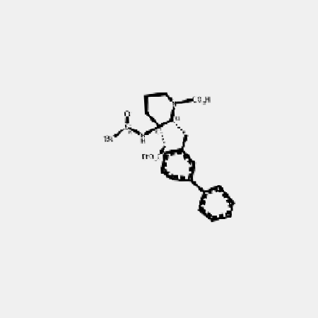 CCOC(=O)C[C@]1(N[S@+]([O-])C(C)(C)C)CCCN(C(=O)O)[C@@H]1Cc1cccc(-c2ccccc2)c1